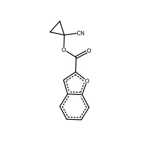 N#CC1(OC(=O)c2cc3ccccc3o2)CC1